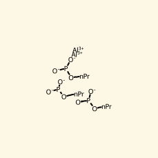 CCCOP([O-])[O-].CCCOP([O-])[O-].CCCOP([O-])[O-].[Al+3].[Al+3]